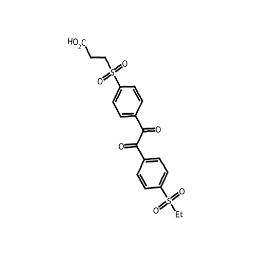 CCS(=O)(=O)c1ccc(C(=O)C(=O)c2ccc(S(=O)(=O)CCC(=O)O)cc2)cc1